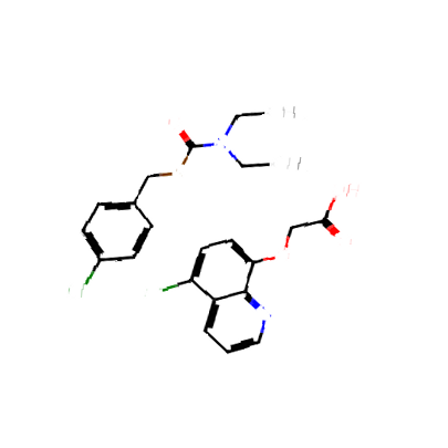 CCN(CC)C(=O)SCc1ccc(Cl)cc1.O=C(O)COc1ccc(Cl)c2cccnc12